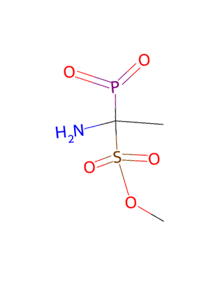 COS(=O)(=O)C(C)(N)P(=O)=O